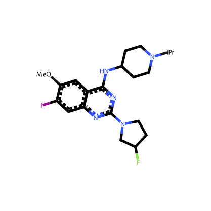 COc1cc2c(NC3CCN(C(C)C)CC3)nc(N3CCC(F)C3)nc2cc1I